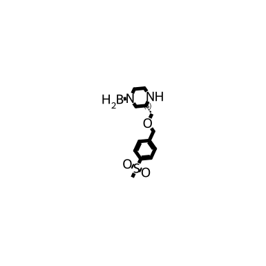 BN1CCN[C@H](COCc2ccc(S(C)(=O)=O)cc2)C1